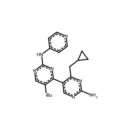 CCC(C)c1cnc(Nc2ccncc2)nc1-c1cnc(N)nc1CC1CC1